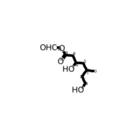 CC(CCO)CC(O)CC(=O)OC=O